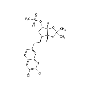 CC1(C)O[C@@H]2[C@@H](CCc3ccc4cc(Cl)c(Cl)nc4c3)C[C@H](OS(=O)(=O)C(F)(F)F)[C@@H]2O1